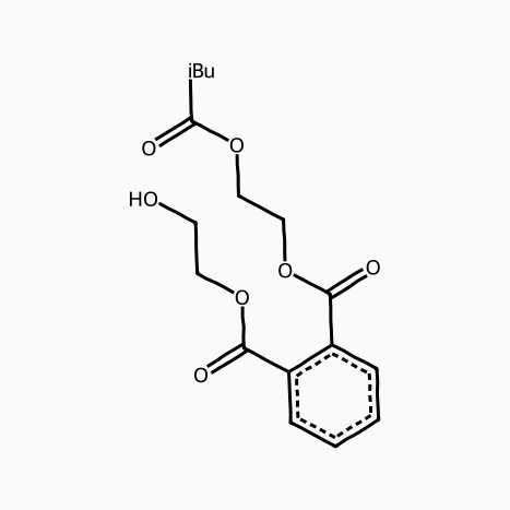 CCC(C)C(=O)OCCOC(=O)c1ccccc1C(=O)OCCO